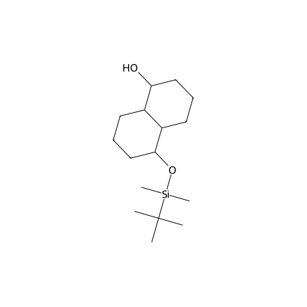 CC(C)(C)[Si](C)(C)OC1CCCC2C(O)CCCC12